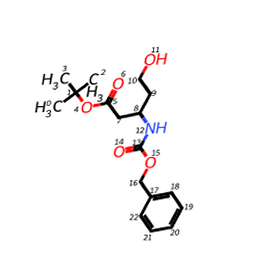 CC(C)(C)OC(=O)CC(CCO)NC(=O)OCc1ccccc1